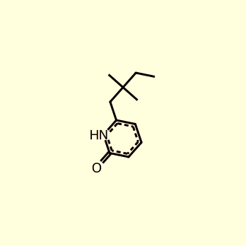 CCC(C)(C)Cc1cccc(=O)[nH]1